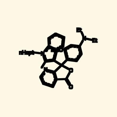 CCCCCCCn1c(C)c(C2(c3ccc(N(CC)CC)cc3OC)OC(=O)c3cccnc32)c2ccccc21